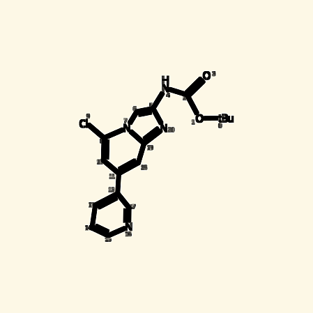 CC(C)(C)OC(=O)Nc1cn2c(Cl)cc(-c3cccnc3)cc2n1